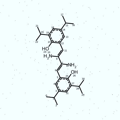 CC(C)c1cc(C=C(N)C(N)=Cc2cc(C(C)C)cc(C(C)C)c2O)c(O)c(C(C)C)c1